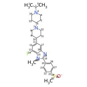 CC(C)N1CCC(N2CCC(c3cc(F)c4c(c3)nc(-c3ccc([S+](C)[O-])cc3)n4C)CC2)CC1